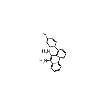 CC(C)c1ccc(-c2cccc3c2c(N)c(N)c2ccccc23)cc1